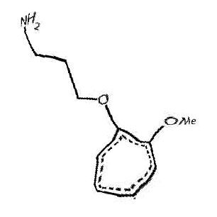 COc1c[c]ccc1OCCCN